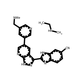 CCNC.CNCc1cncc(-c2cnc3[nH]nc(-c4nc5ccc(C#N)cc5[nH]4)c3c2)c1